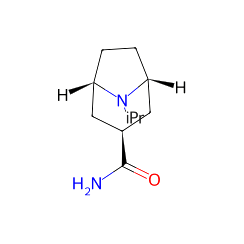 CC(C)N1[C@@H]2CC[C@H]1C[C@H](C(N)=O)C2